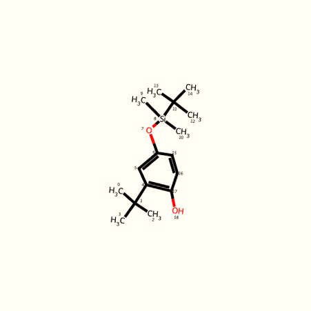 CC(C)(C)c1cc(O[Si](C)(C)C(C)(C)C)ccc1O